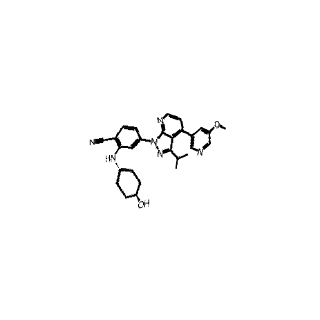 COc1cncc(-c2ccnc3c2c(C(C)C)nn3-c2ccc(C#N)c(N[C@H]3CC[C@H](O)CC3)c2)c1